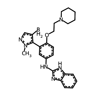 Bc1cnn(C)c1-c1cc(Nc2nc3ccccc3[nH]2)ccc1OCCN1CCCCC1